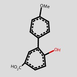 COc1ccc(-c2cc(C(=O)O)ccc2O)cc1